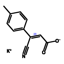 Cc1ccc(/C(C#N)=C/C(=O)[O-])cc1.[K+]